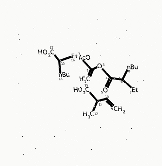 C=C(OC(C)=O)OC(=O)C(CC)CCCC.C=CC(C)C(=O)O.CCCCC(CC)C(=O)O